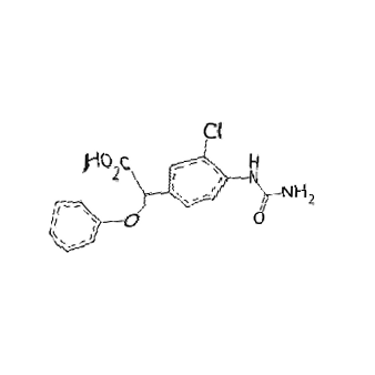 NC(=O)Nc1ccc(C(Oc2ccccc2)C(=O)O)cc1Cl